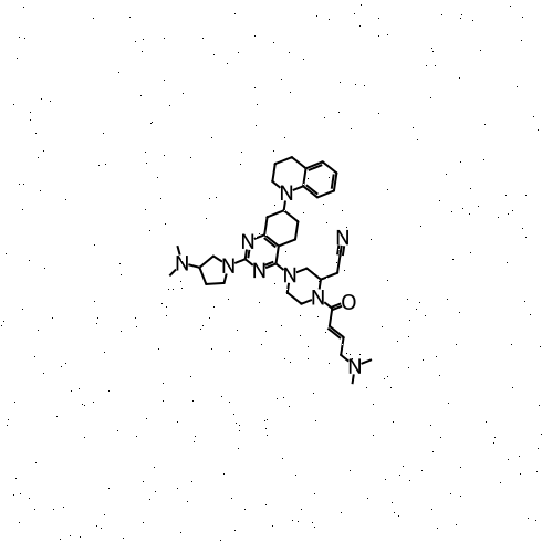 CN(C)CC=CC(=O)N1CCN(c2nc(N3CCC(N(C)C)C3)nc3c2CCC(N2CCCc4ccccc42)C3)CC1CC#N